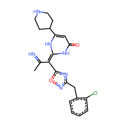 CC(=N)/C(=C1/NC(=O)C=C(C2CCNCC2)N1)c1nc(Cc2ccccc2Cl)no1